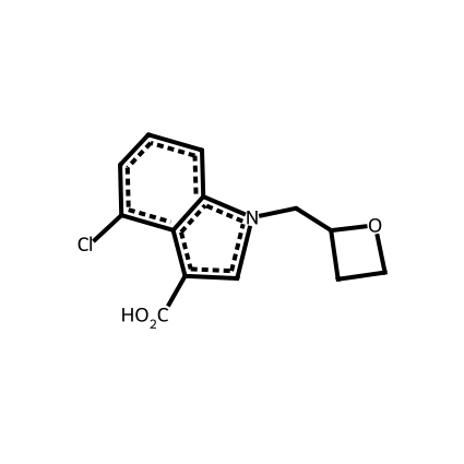 O=C(O)c1cn(CC2CCO2)c2cccc(Cl)c12